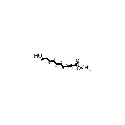 COC(=O)C#CCCCCCCCO